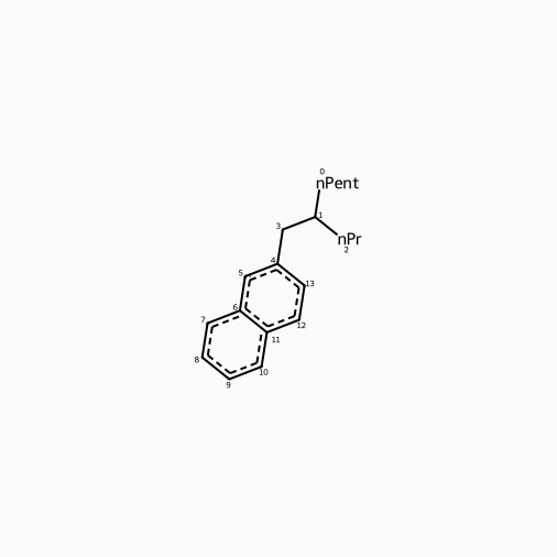 CCCCCC(CCC)Cc1[c]c2ccccc2cc1